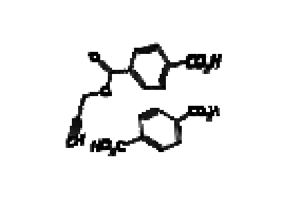 C#CCOC(=O)c1ccc(C(=O)O)cc1.O=C(O)c1ccc(C(=O)O)cc1